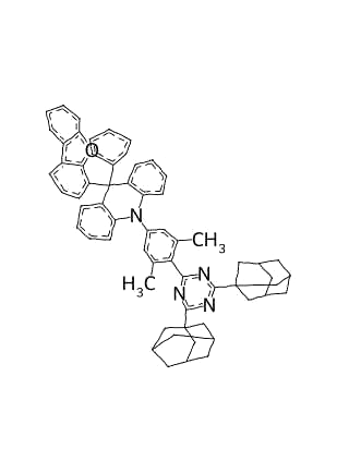 Cc1cc(N2c3ccccc3C(c3ccccc3)(c3cccc4c3oc3ccccc34)c3ccccc32)cc(C)c1-c1nc(C23CC4CC(CC(C4)C2)C3)nc(C23CC4CC(CC(C4)C2)C3)n1